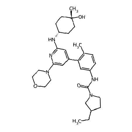 CCC1CCN(C(=O)Nc2ccc(C)c(-c3cc(N[C@H]4CC[C@@](C)(O)CC4)nc(N4CCOCC4)c3)c2)C1